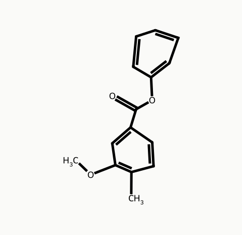 COc1cc(C(=O)Oc2ccccc2)ccc1C